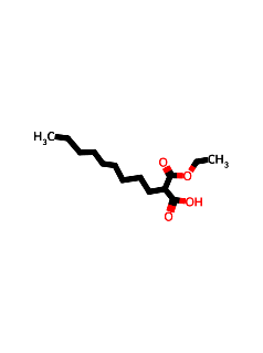 CCCCCCCCCC(C(=O)O)C(=O)OCC